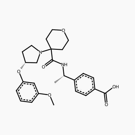 COc1cccc(O[C@@H]2CCN(C3(C(=O)N[C@@H](C)c4ccc(C(=O)O)cc4)CCOCC3)C2)c1